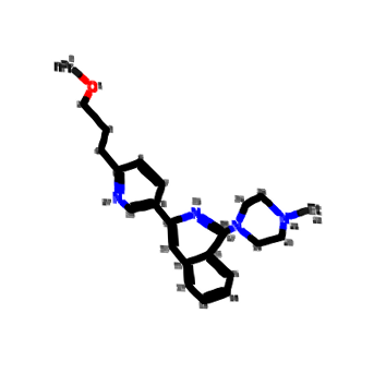 CCCOCCCc1ccc(-c2cc3ccccc3c(N3CCN(CC)CC3)n2)cn1